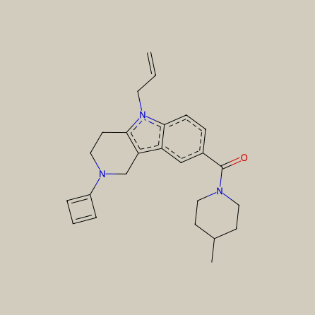 C=CCn1c2c(c3cc(C(=O)N4CCC(C)CC4)ccc31)CN(C1=CC=C1)CC2